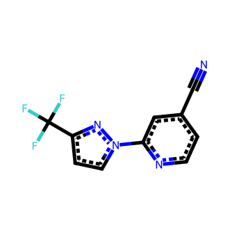 N#Cc1ccnc(-n2ccc(C(F)(F)F)n2)c1